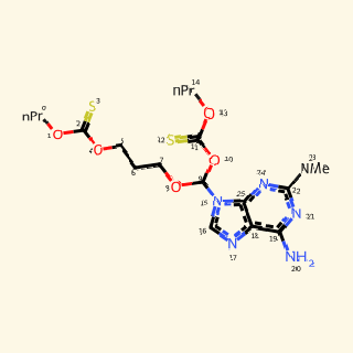 CCCOC(=S)OCCCOC(OC(=S)OCCC)n1cnc2c(N)nc(NC)nc21